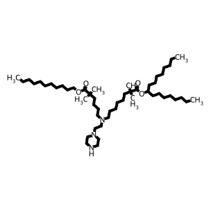 CCCCCCCCCCCOC(=O)C(C)(C)CCCCN(CCCCCCC(C)(C)C(=O)OC(CCCCCCCC)CCCCCCCC)CCN1CCNCC1